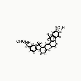 CC1(C)C2=C3C=C4C5=[N+](CCC4OC3CCN2c2ccc(CNC=O)cc21)c1ccc(S(=O)(=O)O)cc1C5(C)C